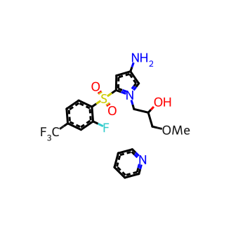 COCC(O)Cn1cc(N)cc1S(=O)(=O)c1ccc(C(F)(F)F)cc1F.c1ccncc1